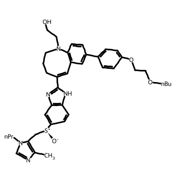 CCCCOCCOc1ccc(-c2ccc3c(c2)/C=C(/c2nc4cc([S@@+]([O-])Cc5c(C)ncn5CCC)ccc4[nH]2)CCCN3CCO)cc1